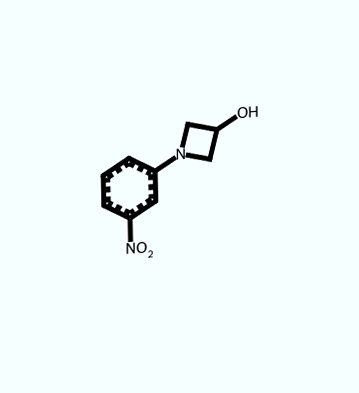 O=[N+]([O-])c1cccc(N2CC(O)C2)c1